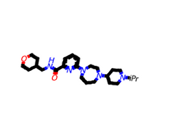 CC(C)N1CCC(N2CCCN(c3cccc(C(=O)NCC4CCOCC4)n3)CC2)CC1